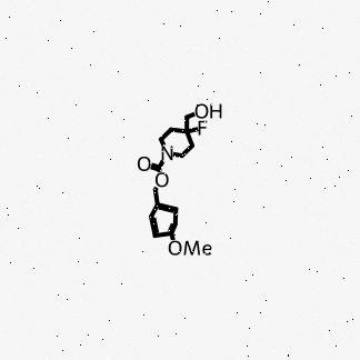 COc1ccc(COC(=O)N2CCC(F)(CO)CC2)cc1